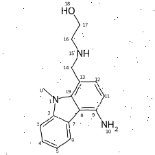 Cn1c2ccccc2c2c(N)ccc(CNCCO)c21